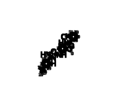 COc1cc(NC(=O)NC(=N)c2ccc(C(C)(C)C)cc2)ccc1NC(=O)c1ccccc1Cl